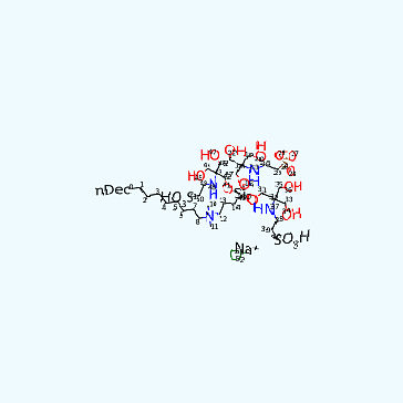 CCCCCCCCCCCCCCCCCC[N+](C)(C)CCC[Si](OCC(CO)(CO)NCCS(=O)(=O)[O-])(OCC(CO)(CO)NCCS(=O)(=O)O)OCC(CO)(CO)NCCS(=O)(=O)O.[Cl-].[Na+]